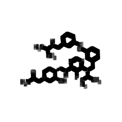 CC(C)N(Cc1cccc(Cl)c1)c1ncnc(NC[C@H]2CCN(CC(N)=O)C[C@@H]2O)c1F.CC(C)NCc1cccc(Cl)c1